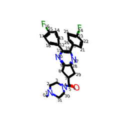 CN1CCN(C(=O)C2Cc3nc(-c4ccc(F)cc4)c(-c4ccc(F)cc4)nc3C2)CC1